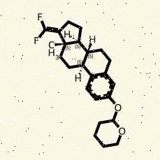 C[C@]12CC[C@@H]3c4ccc(OC5CCCCO5)cc4CC[C@H]3[C@@H]1CCC2=C(F)F